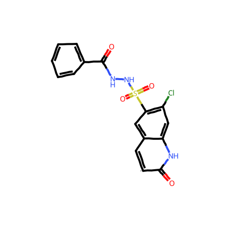 O=C(NNS(=O)(=O)c1cc2c[c]c(=O)[nH]c2cc1Cl)c1ccccc1